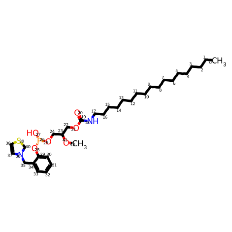 CCCCCCCCCCCCCCCCCCNC(=O)OCC(COP(O)Oc1ccccc1CN1C=CSC1)OC